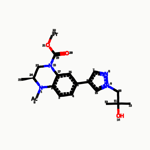 CC(=O)N1c2ccc(-c3cnn(CC(C)(C)O)c3)cc2N(C(=O)OC(C)C)C[C@@H]1C